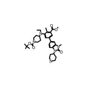 CCN(c1cc(-c2ccc3c(c2)n(C)c(=O)n3C2CCN(C)CC2)cc(C(=O)OC)c1C)C1CCN(C(=O)OC(C)(C)C)CC1